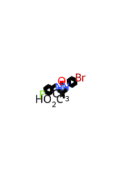 O=C(O)CC1CN(Cc2ccc(F)cc2C(F)(F)F)C(=O)N(c2ccc(Br)cc2)C1